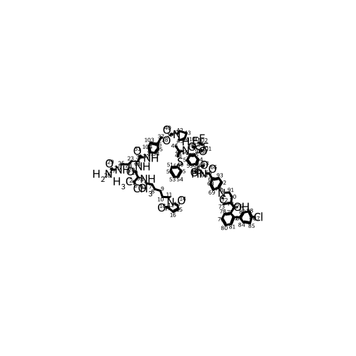 CC(C)[C@H](NC(=O)CCCCCN1C(=O)C=CC1=O)C(=O)N[C@@H](CCCNC(N)=O)C(=O)Nc1ccc(COC(=O)N2CCC[C@@H]2CC(CSc2ccccc2)Nc2ccc(S(=O)(=O)NC(=O)c3ccc(N4CCC([C@@H](O)c5ccccc5-c5ccc(Cl)cc5)CC4)cc3)cc2S(=O)(=O)C(F)(F)F)cc1